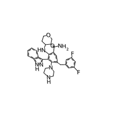 NC(=O)c1cc(Cc2cc(F)cc(F)c2)c(N2CCNCC2)c(-c2n[nH]c3ccccc23)c1NC1CCOCC1